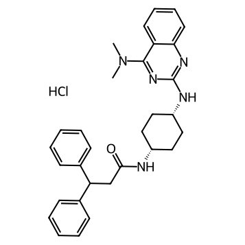 CN(C)c1nc(N[C@H]2CC[C@@H](NC(=O)CC(c3ccccc3)c3ccccc3)CC2)nc2ccccc12.Cl